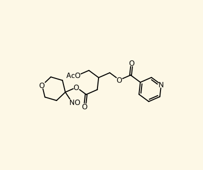 CC(=O)OCC(COC(=O)c1cccnc1)CC(=O)OC1(N=O)CCOCC1